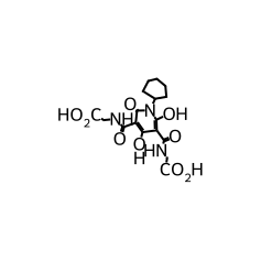 O=C(O)CNC(=O)c1c(O)c(C(=O)NCC(=O)O)c(=O)n(C2CCCCC2)c1O